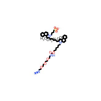 CC1(C)C(/C=C/C=C/C=C2/N(CCCCCCOC(=O)NCCOCCOCCOCCN=[N+]=[N-])c3ccc4ccccc4c3C2(C)C)=[N+](CCCCS(=O)(=O)[O-])c2ccc3ccccc3c21